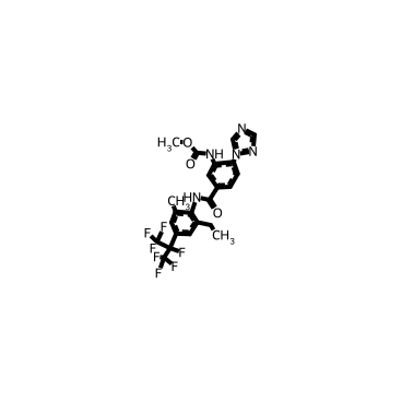 CCc1cc(C(F)(C(F)(F)F)C(F)(F)F)cc(C)c1NC(=O)c1ccc(-n2cncn2)c(NC(=O)OC)c1